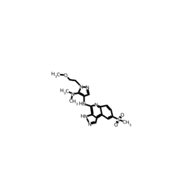 COCCn1ncc(Nc2nc3ccc(S(C)(=O)=O)cc3c3cn[nH]c23)c1N(C)C